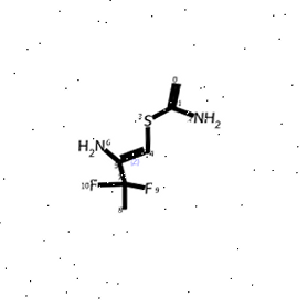 C=C(N)S/C=C(\N)C(C)(F)F